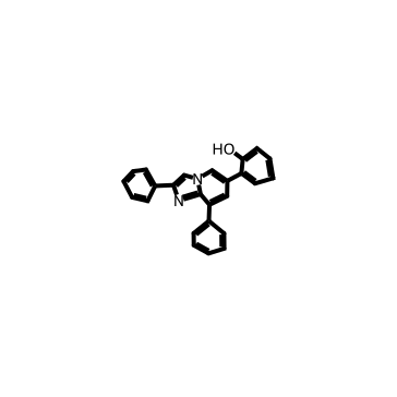 Oc1ccccc1-c1cc(-c2ccccc2)c2nc(-c3ccccc3)cn2c1